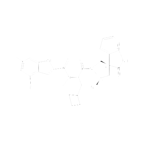 CN(C(=O)c1cc2c(F)cc(F)cc2[nH]1)C(CC1CCC1)C(=O)N1C[C@]2(C[C@H]1C#N)C(=O)Nc1ccccc12